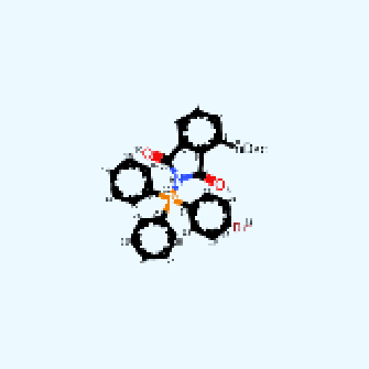 CCCCCCCCCCc1cccc2c1C(=O)N([P+](c1ccccc1)(c1ccccc1)c1ccccc1)C2=O.[Br-]